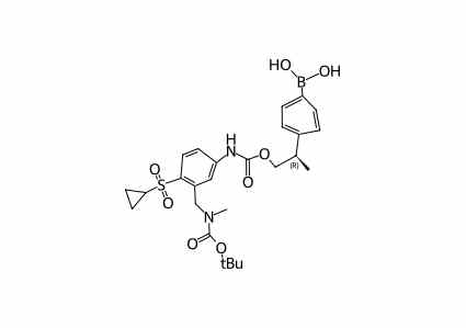 C[C@@H](COC(=O)Nc1ccc(S(=O)(=O)C2CC2)c(CN(C)C(=O)OC(C)(C)C)c1)c1ccc(B(O)O)cc1